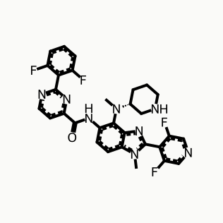 CN(c1c(NC(=O)c2ccnc(-c3c(F)cccc3F)n2)ccc2c1nc(-c1c(F)cncc1F)n2C)[C@@H]1CCCNC1